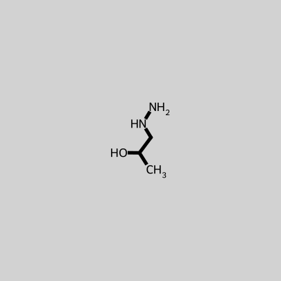 CC(O)CNN